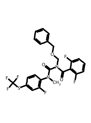 CN(C(=O)N(COCc1ccccc1)C(=O)c1c(F)cccc1F)c1ccc(SC(F)(F)F)cc1F